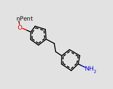 CCCCCOc1ccc(CCc2ccc(N)cc2)cc1